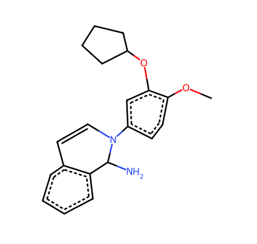 COc1ccc(N2C=Cc3ccccc3C2N)cc1OC1CCCC1